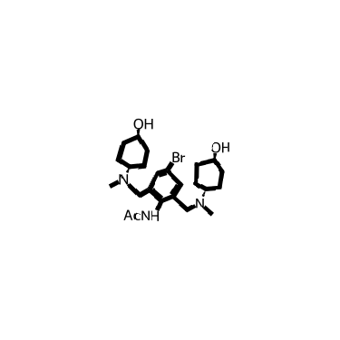 CC(=O)Nc1c(CN(C)[C@H]2CC[C@H](O)CC2)cc(Br)cc1CN(C)[C@H]1CC[C@H](O)CC1